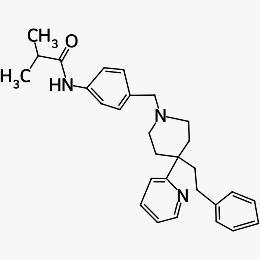 CC(C)C(=O)Nc1ccc(CN2CCC(CCc3ccccc3)(c3ccccn3)CC2)cc1